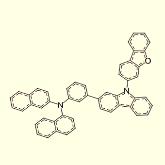 c1cc(-c2ccc3c4ccccc4n(-c4ccc5c(c4)oc4ccccc45)c3c2)cc(N(c2ccc3ccccc3c2)c2cccc3ccccc23)c1